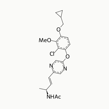 COc1c(OCC2CC2)ccc(Oc2cnc(/C=C/[C@H](C)NC(C)=O)cn2)c1Cl